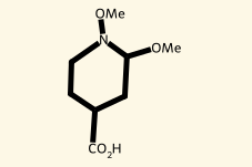 COC1CC(C(=O)O)CCN1OC